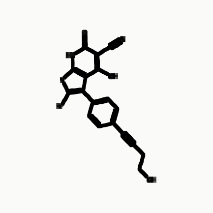 N#Cc1c(O)c2c(-c3ccc(C#CCCO)cc3)c(Br)sc2[nH]c1=O